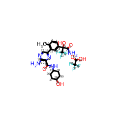 Cc1ccc(C(O)(C(N)=O)C(F)(F)F)cc1-c1cnc(N)c(C(=O)NC2CCC(O)CC2)n1.O=C(O)C(F)(F)F